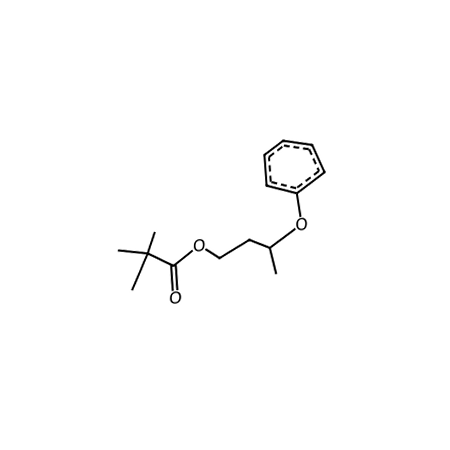 CC(CCOC(=O)C(C)(C)C)Oc1ccccc1